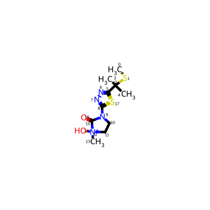 CSC(C)(C)c1nnc(N2CC[N+](C)(O)C2=O)s1